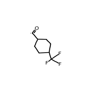 O=[C]C1CCC(C(F)(F)F)CC1